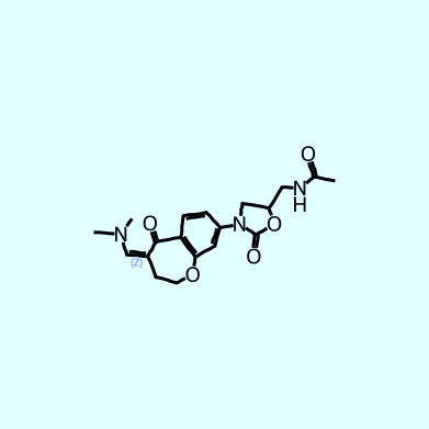 CC(=O)NCC1CN(c2ccc3c(c2)OCC/C(=C/N(C)C)C3=O)C(=O)O1